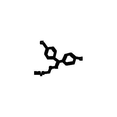 CCOC(=O)CON=C(c1ccc(Cl)cc1)c1ccc(Cl)cc1